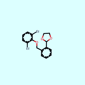 CCc1cccc(CC)c1OCc1ccccc1C1OCCO1